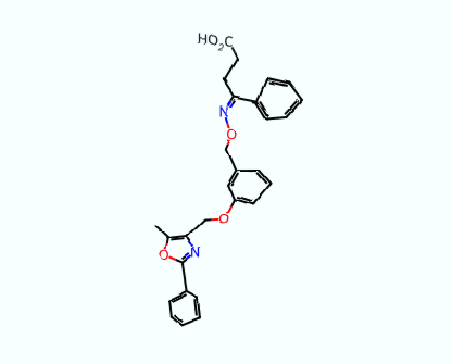 Cc1oc(-c2ccccc2)nc1COc1cccc(CON=C(CCC(=O)O)c2ccccc2)c1